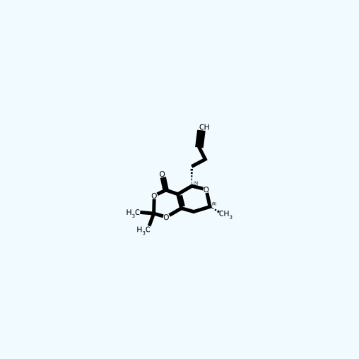 C#CCC[C@@H]1O[C@H](C)CC2=C1C(=O)OC(C)(C)O2